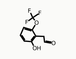 O=CCc1c(O)cccc1OC(F)(F)F